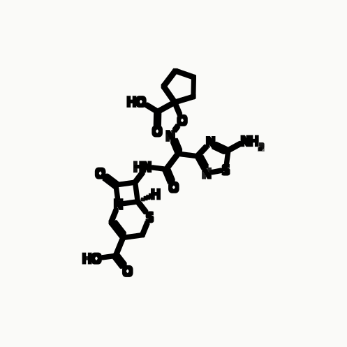 Nc1nc(C(=NOC2(C(=O)O)CCCC2)C(=O)NC2C(=O)N3C=C(C(=O)O)CS[C@H]23)ns1